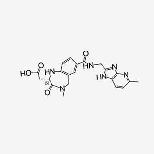 Cc1ccc2[nH]c(CNC(=O)c3ccc4c(c3)CN(C)C(=O)[C@H](CC(=O)O)N4)nc2n1